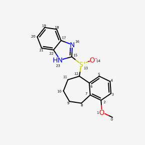 COc1cccc2c1CCCCC2[S+]([O-])c1nc2ccccc2[nH]1